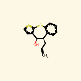 C=CC[C@@H]1c2ccccc2Sc2sccc2[C@@H]1O